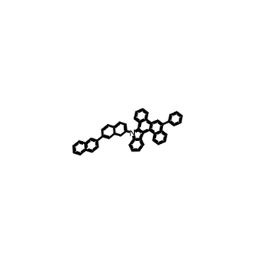 C1=CC2=CC=C(n3c4ccccc4c4c5c6ccccc6c(-c6ccccc6)cc5c5ccccc5c43)CC2C=C1c1ccc2ccccc2c1